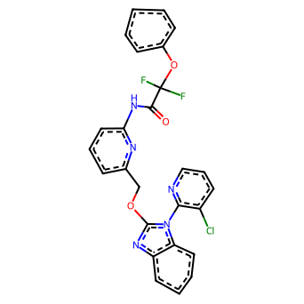 O=C(Nc1cccc(COc2nc3ccccc3n2-c2ncccc2Cl)n1)C(F)(F)Oc1ccccc1